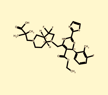 CCOC(=O)C1=C(CN2CC(F)(F)[C@H]3CN(CC(C)(C)C(=O)O)CC[C@H]32)NC(c2nccs2)=N[C@H]1c1cccc(F)c1C